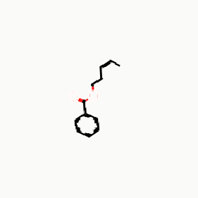 C/C=C\CCOC(=O)c1ccccc1